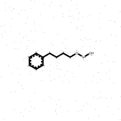 [OH][Sn][O]CCCCc1ccccc1